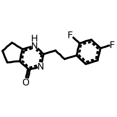 O=c1nc(CCc2ccc(F)cc2F)[nH]c2c1CCC2